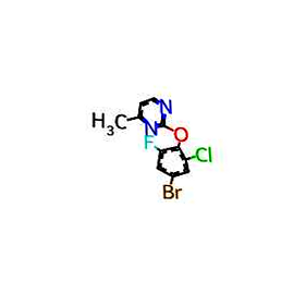 Cc1ccnc(Oc2c(F)cc(Br)cc2Cl)n1